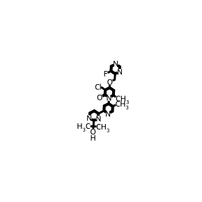 Cc1cnc(-c2ccnc(C(C)(C)O)n2)cc1-n1c(C)cc(OCc2ncncc2F)c(Cl)c1=O